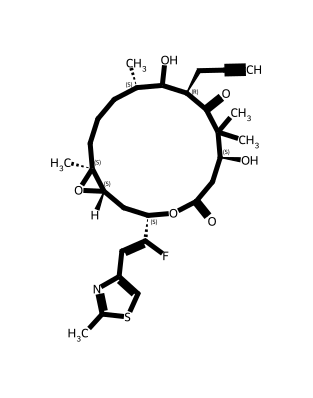 C#CC[C@H]1C(=O)C(C)(C)[C@@H](O)CC(=O)O[C@H](C(F)=Cc2csc(C)n2)C[C@@H]2O[C@@]2(C)CCC[C@H](C)C1O